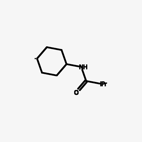 CC(C)C(=O)NC1CC[CH]CC1